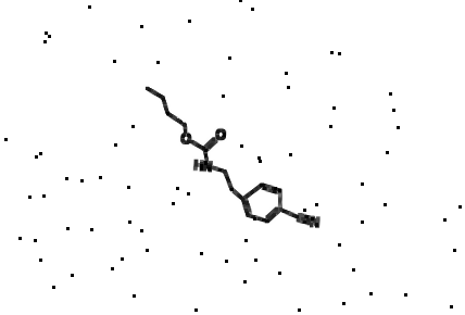 CCCCOC(=O)NCCc1ccc(C#N)cc1